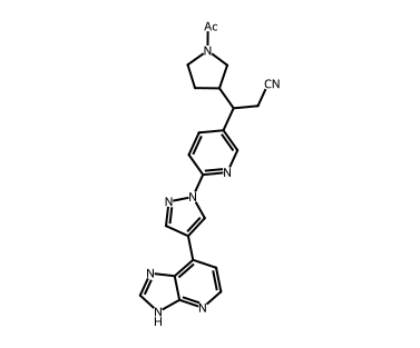 CC(=O)N1CCC(C(CC#N)c2ccc(-n3cc(-c4ccnc5[nH]cnc45)cn3)nc2)C1